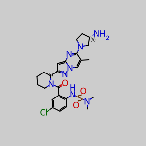 Cc1cn2nc([C@@H]3CCCCN3C(=O)c3cc(Cl)ccc3NS(=O)(=O)N(C)C)cc2nc1N1CC[C@H](N)C1